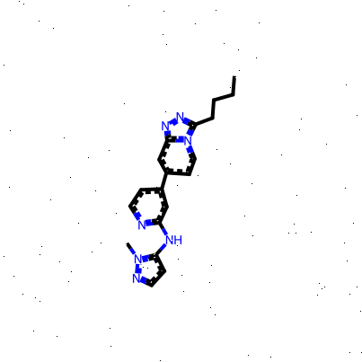 CCCCc1nnc2cc(-c3ccnc(Nc4ccnn4C)c3)ccn12